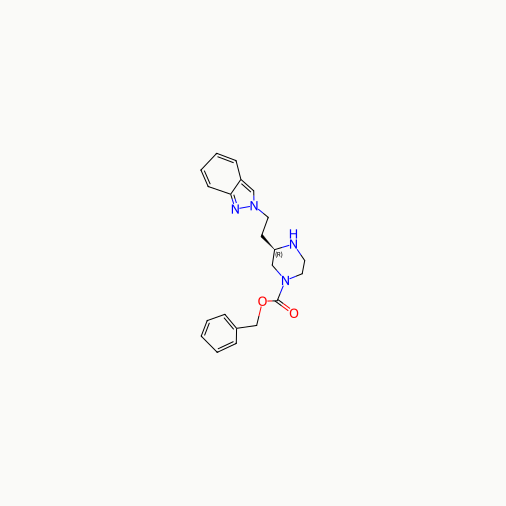 O=C(OCc1ccccc1)N1CCN[C@H](CCn2cc3ccccc3n2)C1